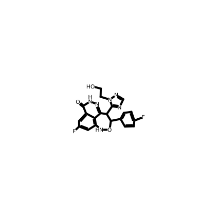 O=c1[nH]nc2c3c(cc(F)cc13)NOC(c1ccc(F)cc1)C2c1ncnn1CCO